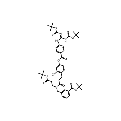 CC(C)(C)OC(=O)CCN(Cc1cccc(C(=O)OC(C)(C)C)c1)C(=O)CCc1ccc(OC(=O)c2ccc(N/C(=N\C(=O)OC(C)(C)C)NC(=O)OC(C)(C)C)cc2)cc1Cl